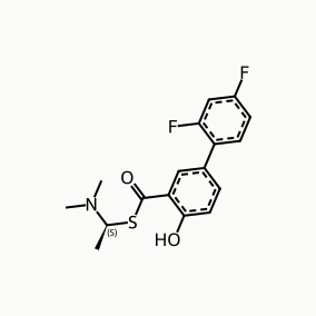 C[C@H](SC(=O)c1cc(-c2ccc(F)cc2F)ccc1O)N(C)C